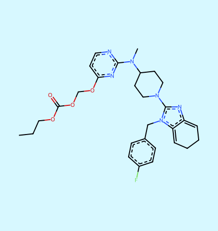 CCCOC(=O)OCOc1ccnc(N(C)C2CCN(c3nc4c(n3Cc3ccc(F)cc3)=CCCC=4)CC2)n1